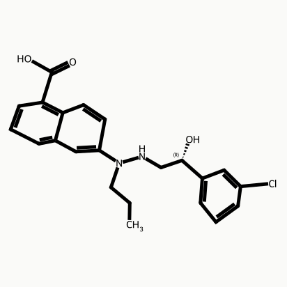 CCCN(NC[C@H](O)c1cccc(Cl)c1)c1ccc2c(C(=O)O)cccc2c1